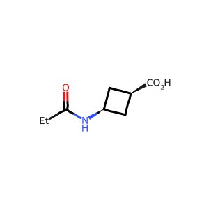 CCC(=O)N[C@H]1C[C@@H](C(=O)O)C1